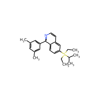 CCS(CC)(c1ccc2c(-c3cc(C)cc(C)c3)nccc2c1)C(C)C